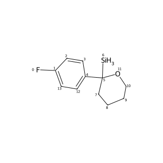 Fc1ccc(C2([SiH3])CCCCO2)cc1